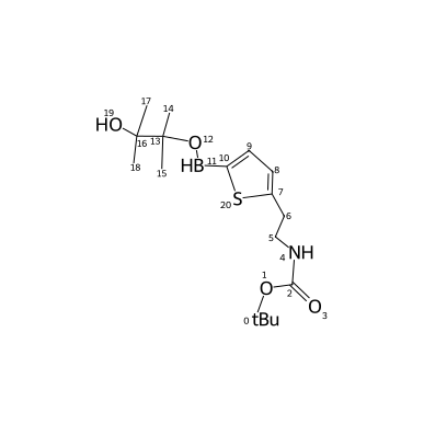 CC(C)(C)OC(=O)NCCc1ccc(BOC(C)(C)C(C)(C)O)s1